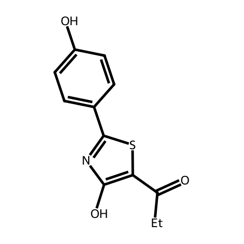 CCC(=O)c1sc(-c2ccc(O)cc2)nc1O